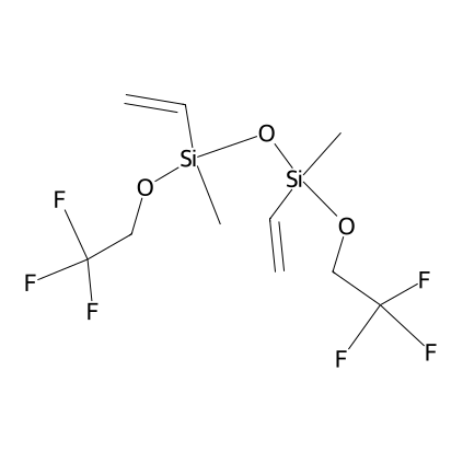 C=C[Si](C)(OCC(F)(F)F)O[Si](C)(C=C)OCC(F)(F)F